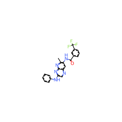 Cc1nc2nc(Nc3ccccc3)cnc2cc1NC(=O)c1cccc(C(F)(F)F)c1